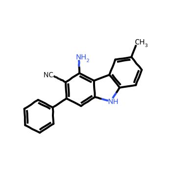 Cc1ccc2[nH]c3cc(-c4ccccc4)c(C#N)c(N)c3c2c1